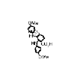 COc1ccc(Nc2c(C(=O)O)ccc(C(=O)O)c2Nc2ccc(OC)cc2)cc1